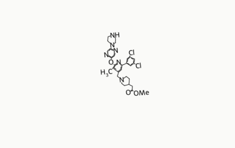 COC(=O)CC1CCN(Cc2cc(-c3cc(Cl)cc(Cl)c3)nc(Oc3cnc(N4CCNCC4)cn3)c2C)CC1